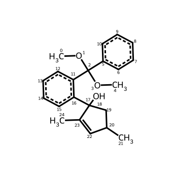 COC(OC)(c1ccccc1)c1ccccc1C1(O)CC(C)C=C1C